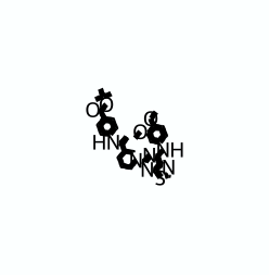 C=C(Nc1ccc(C(=O)OC(C)(C)C)cc1)C1CCCN(c2nc(Nc3ccc(OC)c(OC)c3)c3ncsc3n2)C1